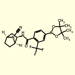 CC1(C)OB(c2ccc(C(=O)N[C@@H]3C[C@@H]4CC[C@H]3N4C#N)c(C(F)(F)F)c2)OC1(C)C